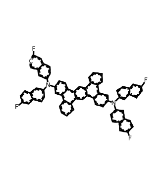 Fc1ccc2cc(N(c3ccc4cc(F)ccc4c3)c3ccc4c(c3)c3ccccc3c3cc5c6ccc(N(c7ccc8cc(F)ccc8c7)c7ccc8cc(F)ccc8c7)cc6c6ccccc6c5cc43)ccc2c1